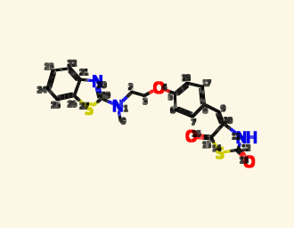 CN(CCOc1ccc(C=C2NC(=O)SC2=O)cc1)c1nc2ccccc2s1